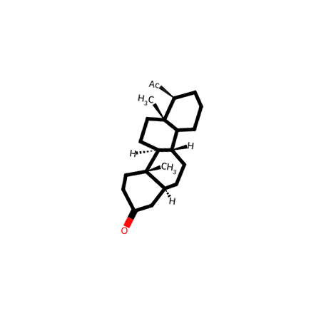 CC(=O)[C@H]1CCCC2[C@@H]3CC[C@H]4CC(=O)CC[C@]4(C)[C@H]3CC[C@@]21C